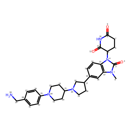 Cn1c(=O)n(C2CCC(=O)NC2=O)c2ccc(C3CCN(C4CCN(c5ccc(CN)cc5)CC4)C3)cc21